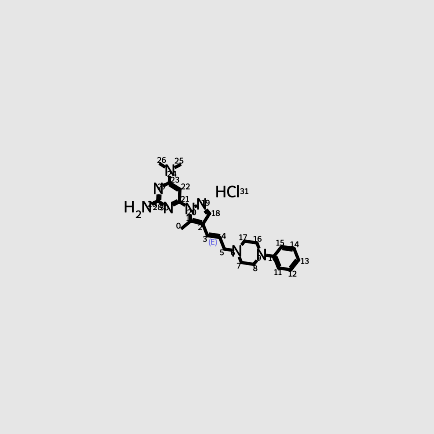 Cc1c(/C=C/CN2CCN(c3ccccc3)CC2)cnn1-c1cc(N(C)C)nc(N)n1.Cl